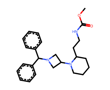 COC(=O)NCCC1CCCCN1C1CN(C(c2ccccc2)c2ccccc2)C1